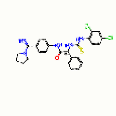 N=C(c1ccc(NC(=O)[C@@H](NC(=S)Nc2ccc(Cl)cc2Cl)c2ccccc2)cc1)N1CCCC1